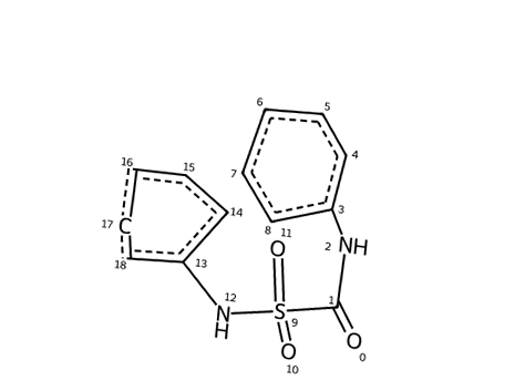 O=C(Nc1ccccc1)S(=O)(=O)Nc1ccccc1